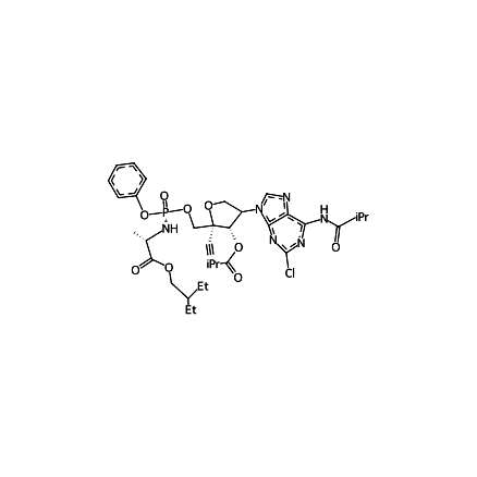 C#C[C@]1(CO[P@@](=O)(N[C@@H](C)C(=O)OCC(CC)CC)Oc2ccccc2)OCC(n2cnc3c(NC(=O)C(C)C)nc(Cl)nc32)[C@@H]1OC(=O)C(C)C